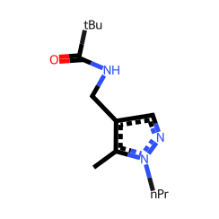 CCCn1ncc(CNC(=O)C(C)(C)C)c1C